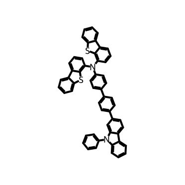 c1ccc(-n2c3ccccc3c3ccc(-c4ccc(-c5ccc(N(c6cccc7c6sc6ccccc67)c6cccc7c6sc6ccccc67)cc5)cc4)cc32)cc1